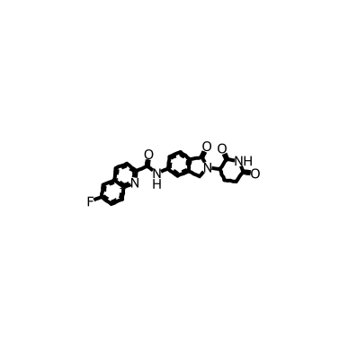 O=C1CCC(N2Cc3cc(NC(=O)c4ccc5cc(F)ccc5n4)ccc3C2=O)C(=O)N1